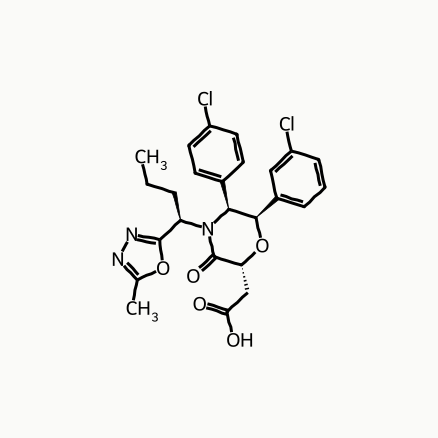 CCC[C@H](c1nnc(C)o1)N1C(=O)[C@@H](CC(=O)O)O[C@H](c2cccc(Cl)c2)[C@@H]1c1ccc(Cl)cc1